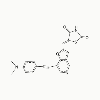 CN(C)c1ccc(C#Cc2cncc3cc(/C=C4\SC(=O)NC4=O)oc23)cc1